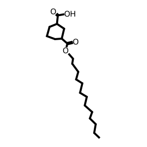 CCCCCCCCCCCCCOC(=O)C1CCCC(C(=O)O)C1